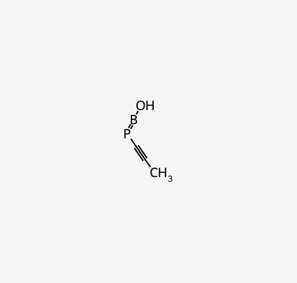 CC#CP=BO